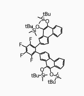 CC(C)(C)[Si](C)(C)Oc1c(O[Si](C)(C)C(C)(C)C)c2cc(-c3c(F)c(F)c(F)c(F)c3-c3ccc4c(c3)c(O[Si](C)(C)C(C)(C)C)c(O[Si](C)(C)C(C)(C)C)c3ccccc34)ccc2c2ccccc12